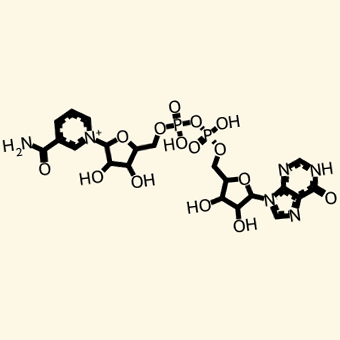 NC(=O)c1ccc[n+](C2OC(COP(=O)(O)OP(=O)(O)OCC3OC(n4cnc5c(=O)[nH]cnc54)C(O)C3O)C(O)C2O)c1